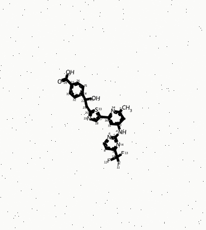 Cc1cc(Nc2nccc(C(F)(F)F)n2)cc(-c2cnc(CC(O)c3ccc(C(=O)O)cc3)s2)n1